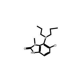 CCCN(CCC)c1c(Cl)ccc2[nH]c(=O)n(C)c12